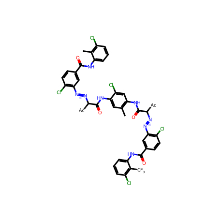 CC(=O)C(/N=N/c1cc(C(=O)Nc2cccc(Cl)c2C(F)(F)F)ccc1Cl)C(=O)Nc1cc(Cl)c(NC(=O)C(/N=N/c2cc(C(=O)Nc3cccc(Cl)c3C)ccc2Cl)C(C)=O)cc1C